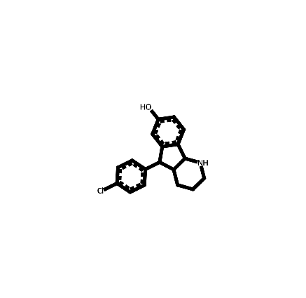 Oc1ccc2c(c1)C(c1ccc(Cl)cc1)C1CCCNC21